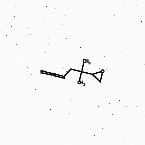 CC(C)(CN=[N+]=[N-])C1CO1